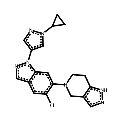 Clc1cc2cnn(-c3cnn(C4CC4)c3)c2cc1N1CCc2[nH]ncc2C1